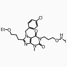 CCOCCCc1nc2c(c(=O)n(CCCOPI)c(=O)n2C)n1Cc1ccc(Cl)cc1